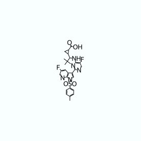 Cc1ccc(S(=O)(=O)n2cc(-c3ncc(F)c(NC(C4CC4C(=O)O)C(C)(C)C)n3)c3cc(F)cnc32)cc1